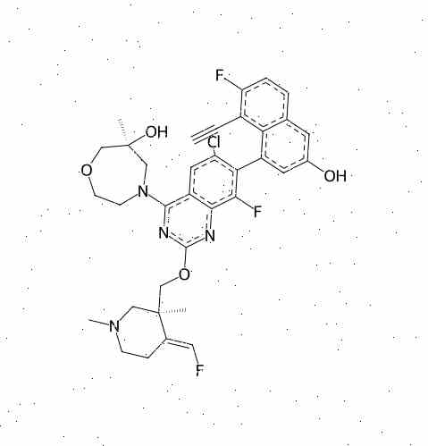 C#Cc1c(F)ccc2cc(O)cc(-c3c(Cl)cc4c(N5CCOC[C@@](C)(O)C5)nc(OC[C@]5(C)CN(C)CC/C5=C\F)nc4c3F)c12